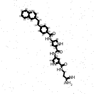 N=C(N)CCNC(=O)c1cc(NC(=O)c2cc(NC(=O)c3ccc(C=Cc4cnc5ccccc5c4)cc3)c[nH]2)c[nH]1